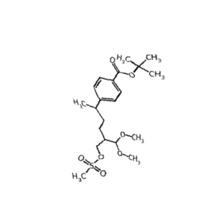 COC(OC)C(CCC(C)c1ccc(C(=O)OC(C)(C)C)cc1)COS(C)(=O)=O